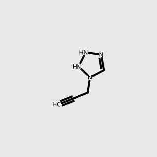 C#CCN1C=NNN1